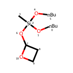 CCCCO[Si](C)(OCCCC)OC1CCO1